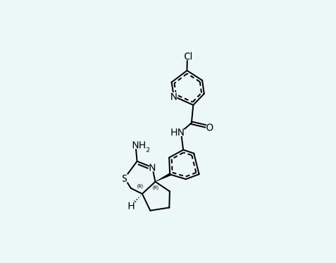 NC1=N[C@]2(c3cccc(NC(=O)c4ccc(Cl)cn4)c3)CCC[C@H]2CS1